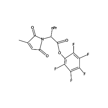 CCCC(C(=O)Oc1c(F)c(F)c(F)c(F)c1F)N1C(=O)C=C(C)C1=O